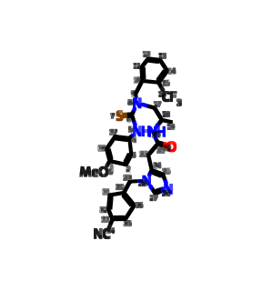 COc1ccc(NC(=S)N(Cc2ccccc2C(F)(F)F)CC(C)NC(=O)Cc2cncn2Cc2ccc(C#N)cc2)cc1